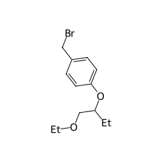 CCOCC(CC)Oc1ccc(CBr)cc1